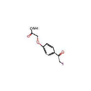 COC(=O)COc1ccc(C(=O)CI)cc1